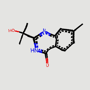 Cc1ccc2c(=O)[nH]c(C(C)(C)O)nc2c1